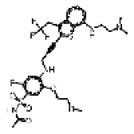 COCCOc1cc(S(=O)(=O)NC(C)=O)c(F)cc1NCC#Cc1sc2c(NCCN(C)C)cccc2c1CC(F)(F)F